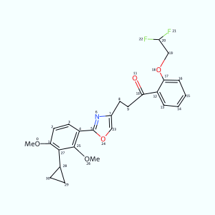 COc1ccc(-c2nc(CCC(=O)c3ccccc3OCC(F)F)co2)c(OC)c1C1CC1